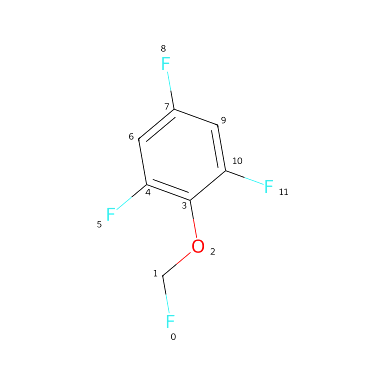 FCOc1c(F)cc(F)cc1F